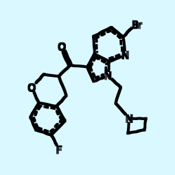 O=C(c1cn(CCN2CCC2)c2nc(Br)ccc12)C1COc2ccc(F)cc2C1